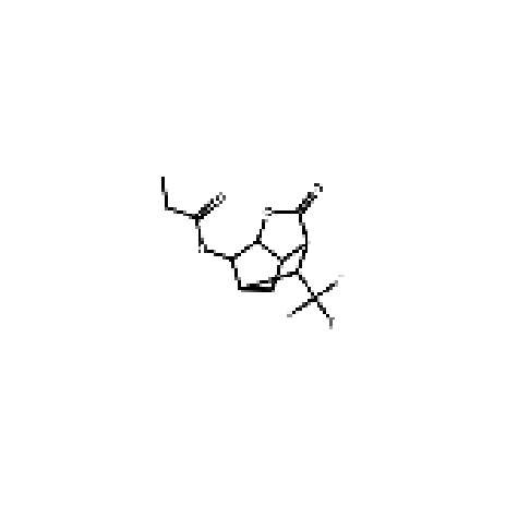 CCC(=O)OC1C2CC3C1OC(=O)C3C2C(F)(F)F